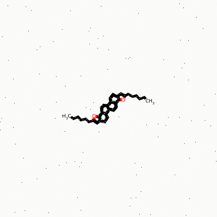 CCCCCCc1cc2ccc3c4ccc5c(ccc6cc(CCCCCC)oc65)c4ccc3c2o1